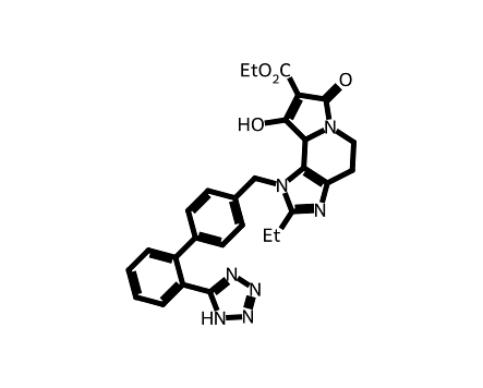 CCOC(=O)C1=C(O)C2c3c(nc(CC)n3Cc3ccc(-c4ccccc4-c4nnn[nH]4)cc3)CCN2C1=O